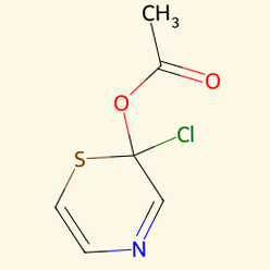 CC(=O)OC1(Cl)C=NC=CS1